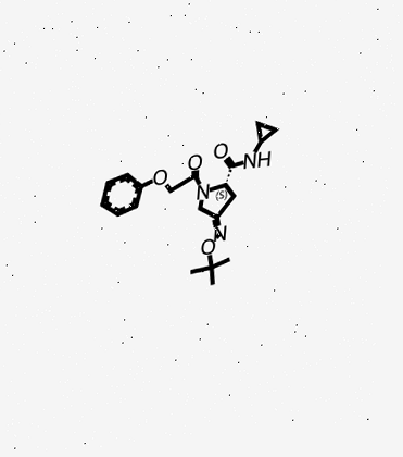 CC(C)(C)ON=C1C[C@@H](C(=O)NC2CC2)N(C(=O)COc2ccccc2)C1